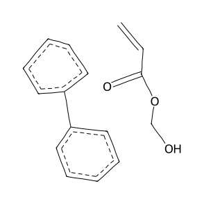 C=CC(=O)OCO.c1ccc(-c2ccccc2)cc1